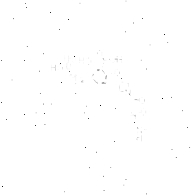 O=C(O)c1c(OC2CN(C(=O)C[C@H]3CNCCO3)C2)ccc([C@@H]2C[C@@H]2B(O)O)c1O